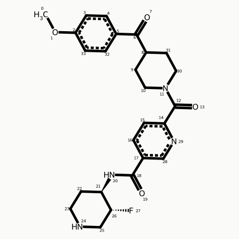 COc1ccc(C(=O)C2CCN(C(=O)c3ccc(C(=O)N[C@@H]4CCNC[C@H]4F)cn3)CC2)cc1